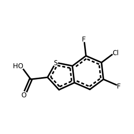 O=C(O)c1cc2cc(F)c(Cl)c(F)c2s1